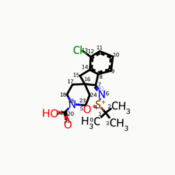 CC(C)(C)[S+]([O-])/N=C1/c2cccc(Cl)c2CC12CCN(C(=O)O)CC2